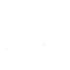 CCCCCCCCCC(=O)O.[Pr]